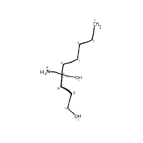 CCCCCC(N)(O)CCCO